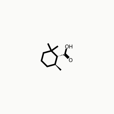 C[C@H]1CCCC(C)(C)[C@@H]1C(=O)O